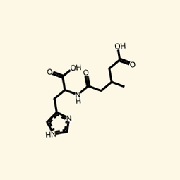 CC(CC(=O)O)CC(=O)NC(Cc1c[nH]cn1)C(=O)O